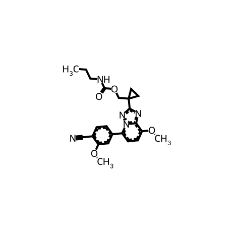 CCCNC(=O)OCC1(c2nc3c(OC)ccc(-c4ccc(C#N)c(OC)c4)n3n2)CC1